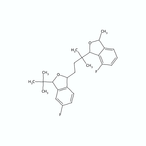 CC1OC(C(C)(C)CCC2OC(C(C)(C)C)c3cc(F)ccc32)c2c(F)cccc21